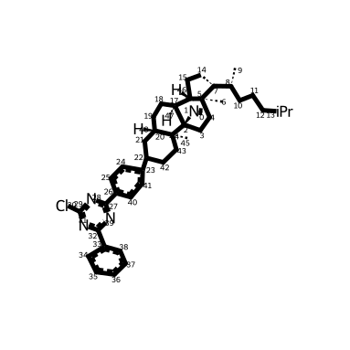 C=N[C@]12CC[C@]3(C)[C@@H]([C@H](C)CCCC(C)C)CC[C@H]3[C@@H]1CC[C@H]1CC(c3ccc(-c4nc(Cl)nc(-c5ccccc5)n4)cc3)CC[C@@]12C